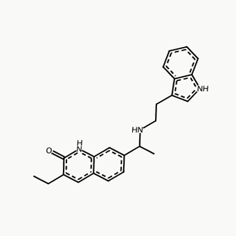 CCc1cc2ccc(C(C)NCCc3c[nH]c4ccccc34)cc2[nH]c1=O